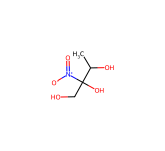 CC(O)C(O)(CO)[N+](=O)[O-]